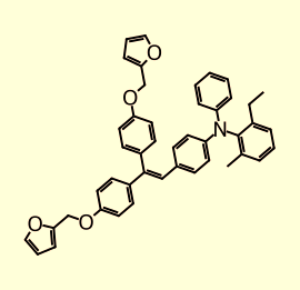 CCc1cccc(C)c1N(c1ccccc1)c1ccc(C=C(c2ccc(OCc3ccco3)cc2)c2ccc(OCc3ccco3)cc2)cc1